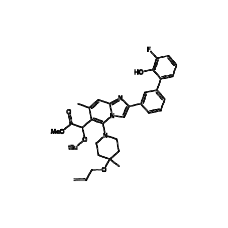 C=CCOC1(C)CCN(c2c(C(OC(C)(C)C)C(=O)OC)c(C)cc3nc(-c4cccc(-c5cccc(F)c5O)c4)cn23)CC1